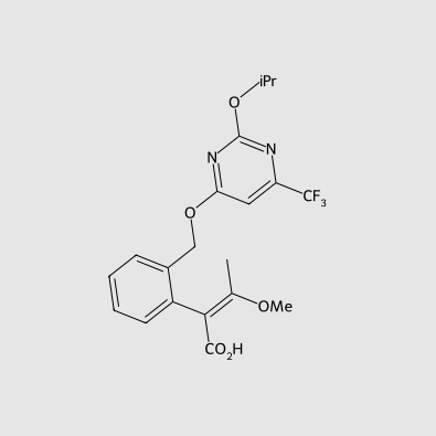 COC(C)=C(C(=O)O)c1ccccc1COc1cc(C(F)(F)F)nc(OC(C)C)n1